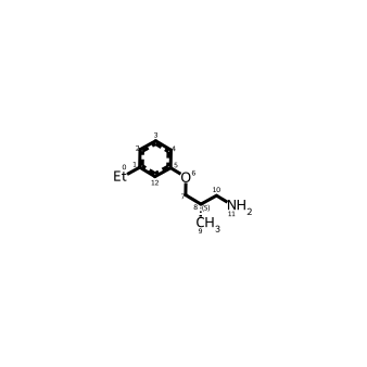 CCc1cccc(OC[C@@H](C)CN)c1